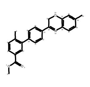 COC(=O)c1ccc(C)c(-c2ccc(C3=Nc4ccc(C)cc4OC3)cc2)c1